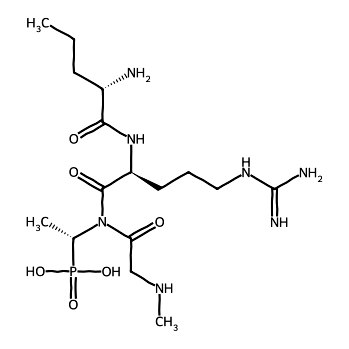 CCC[C@H](N)C(=O)N[C@@H](CCCNC(=N)N)C(=O)N(C(=O)CNC)[C@@H](C)P(=O)(O)O